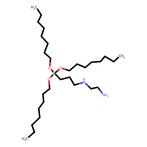 CCCCCCCCO[Si](CCCNCCN)(OCCCCCCCC)OCCCCCCCC